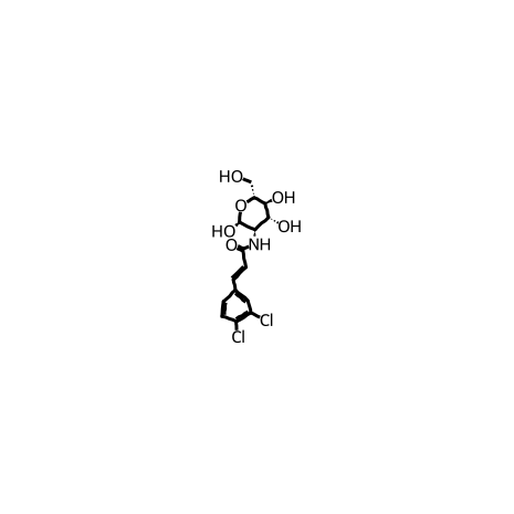 O=C(/C=C/c1ccc(Cl)c(Cl)c1)N[C@H]1[C@@H](O)[C@H](O)[C@@H](CO)O[C@@H]1O